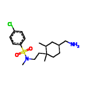 CC1CC(CN)CCC1(C)CCN(C)S(=O)(=O)c1ccc(Cl)cc1